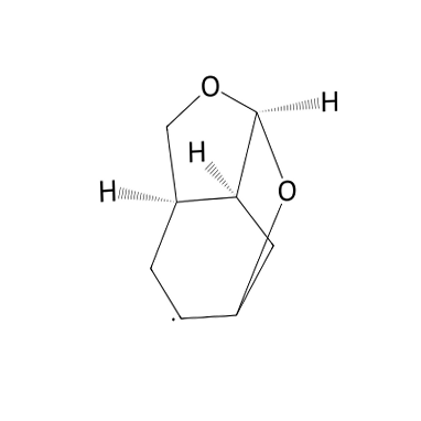 [CH]1C[C@H]2CO[C@H]3OC1C[C@@H]23